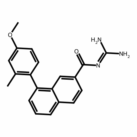 COc1ccc(-c2cccc3ccc(C(=O)N=C(N)N)cc23)c(C)c1